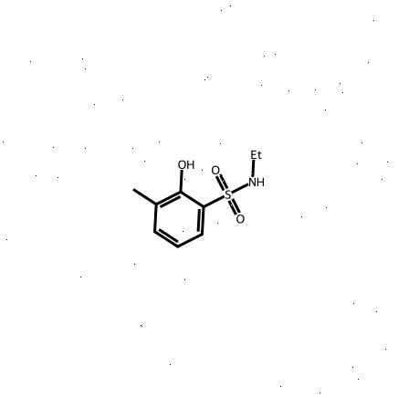 CCNS(=O)(=O)c1cccc(C)c1O